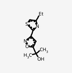 CCc1csc(-c2cc(C(C)(C)O)on2)n1